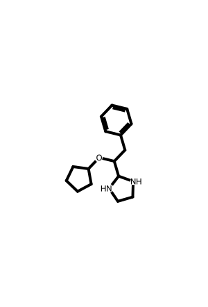 c1ccc(CC(OC2CCCC2)C2NCCN2)cc1